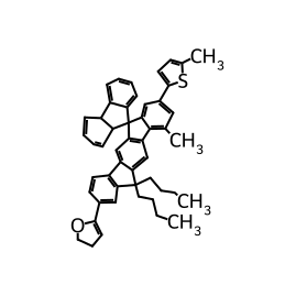 CCCCC1(CCCC)c2cc(C3=CCCO3)ccc2-c2cc3c(cc21)-c1c(C)cc(-c2ccc(C)s2)cc1C31c2ccccc2C2C=CC=CC21